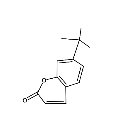 CC(C)(C)c1ccc2ccc(=O)oc2c1